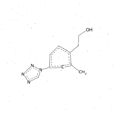 Cc1cc(-n2cnnn2)ccc1CCO